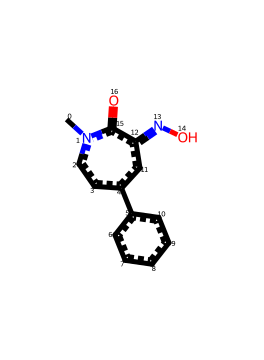 Cn1ccc(-c2ccccc2)cc(=NO)c1=O